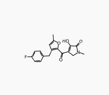 Cc1cc(Cc2ccc(F)cc2)c(C(=O)C2=C(O)C(=O)N(C)C2)o1